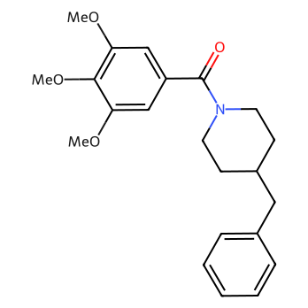 COc1cc(C(=O)N2CCC(Cc3ccccc3)CC2)cc(OC)c1OC